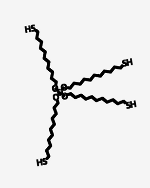 SCCCCCCCCCCCO[Si](OCCCCCCCCCCCS)(OCCCCCCCCCCCS)OCCCCCCCCCCCS